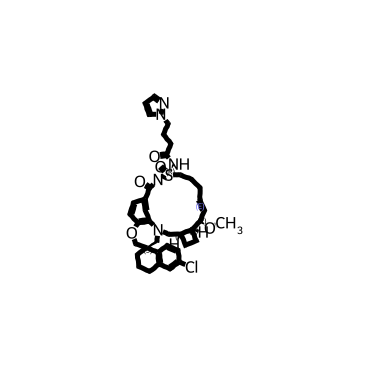 CO[C@H]1/C=C/CCC[S@@](=O)(NC(=O)CCCn2cccn2)=NC(=O)c2ccc3c(c2)N(C[C@@H]2CC[C@H]21)C[C@@]1(CCCc2cc(Cl)ccc21)CO3